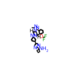 Cc1nnc2n1[C@@H]1C[C@H](c3c(OC(F)F)cccc3-2)n2c1nc1ccc(-c3cnc(C4(N)CCC4)nc3)cc12